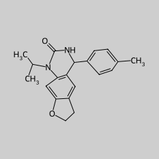 Cc1ccc(C2NC(=O)N(C(C)C)c3cc4c(cc32)CCO4)cc1